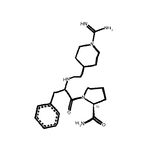 N=C(N)N1CCC(CNC(Cc2ccccc2)C(=O)N2CCC[C@H]2C(N)=O)CC1